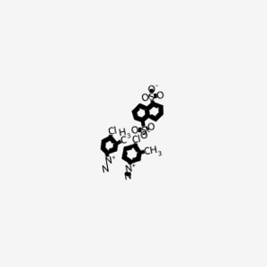 Cc1cc([N+]#N)ccc1Cl.Cc1cc([N+]#N)ccc1Cl.O=S(=O)([O-])c1cccc2c(S(=O)(=O)[O-])cccc12